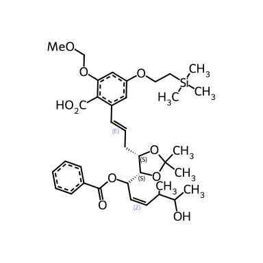 COCOc1cc(OCC[Si](C)(C)C)cc(/C=C/C[C@@H]2OC(C)(C)O[C@@H]2C(/C=C\C(C)C(C)O)OC(=O)c2ccccc2)c1C(=O)O